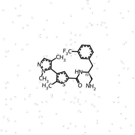 Cc1cnn(C)c1-c1cc(C(=O)N[C@H](CN)Cc2cccc(C(F)(F)F)c2)sc1C